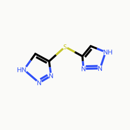 c1[nH]nnc1Sc1c[nH]nn1